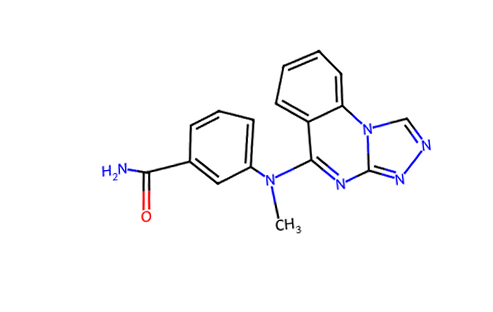 CN(c1cccc(C(N)=O)c1)c1nc2nncn2c2ccccc12